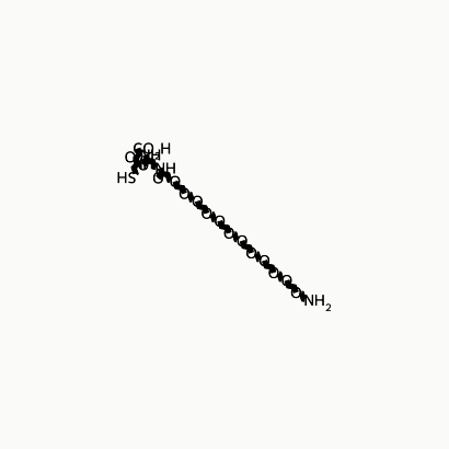 NCCOCCOCCOCCOCCOCCOCCOCCOCCOCCOCCOCCOCCC(=O)NCCC(=O)NC(C(=O)O)C(=O)NCCS